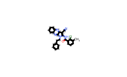 Cc1cccc(C(=O)Nc2c(C#N)c3nc4ccccc4nc3n2CCc2ccccc2)c1Cl